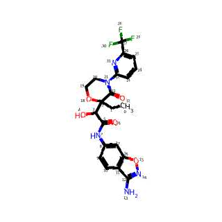 CCC1(C(O)C(=O)Nc2ccc3c(N)noc3c2)OCCN(c2cccc(C(F)(F)F)n2)C1=O